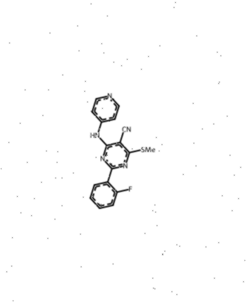 CSc1nc(-c2ccccc2F)nc(Nc2ccncc2)c1C#N